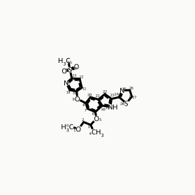 COCC(C)Oc1cc(Oc2ccc(S(C)(=O)=O)nc2)cc2cc(C3=NC[C]S3)[nH]c12